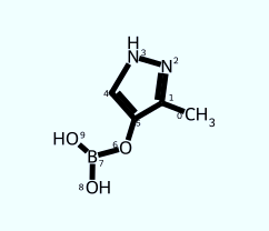 Cc1n[nH]cc1OB(O)O